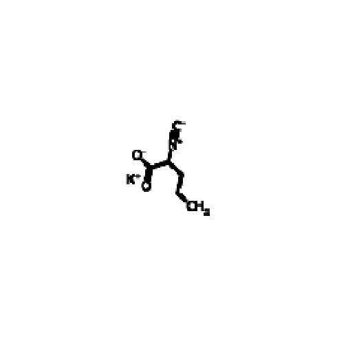 [C-]#[N+]C(CCC)C(=O)[O-].[K+]